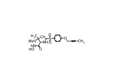 CC#CCOc1ccc(S(=O)(=O)CNC(C(=O)NO)C(C)(C)SC)cc1